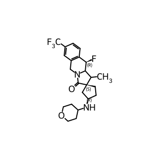 CC1C2[C@H](F)c3ccc(C(F)(F)F)cc3CN2C(=O)[C@]12CC[C@@H](NC1CCOCC1)C2